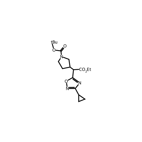 CCOC(=O)C(c1nc(C2CC2)no1)C1CCN(C(=O)OC(C)(C)C)C1